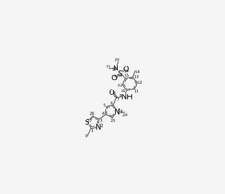 Cc1nc(-c2cc(C(=O)Nc3ccc(C)c(S(=O)(=O)N(C)C)c3)n(C)c2)cs1